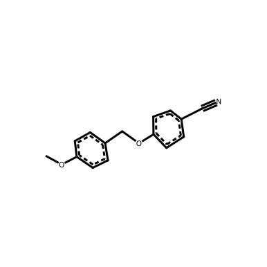 COc1ccc(COc2ccc(C#N)cc2)cc1